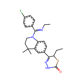 CCN=C(c1ccc(F)cc1)N1CCC(C)(C)c2cc(C3=NNC(=O)SC3CC)ccc21